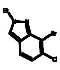 CCn1cc2ccc(Cl)c(Br)c2n1